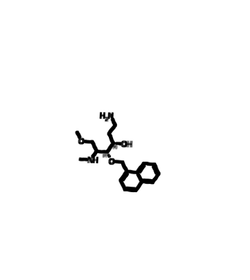 CNC(COC)[C@@H](OCc1cccc2ccccc12)[C@H](O)CCN